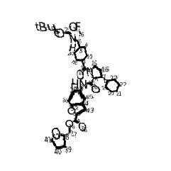 CC(C)(C)OC(=O)N[C@H](CF)C1CCC(C(=O)N2CC[C@@H](C3CCCCC3)[C@H]2C(=O)Nc2ccc3oc(C(=O)OC[C@@H]4CCCO4)cc3c2)CC1